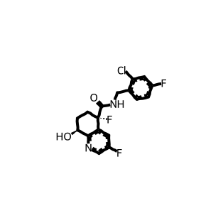 O=C(NCc1ccc(F)cc1Cl)[C@]1(F)CC[C@H](O)c2ncc(F)cc21